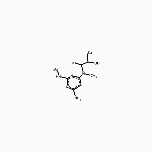 CN(c1nc(N)nc(NC(C)(C)C)n1)C(O)C(O)C(C)(C)C